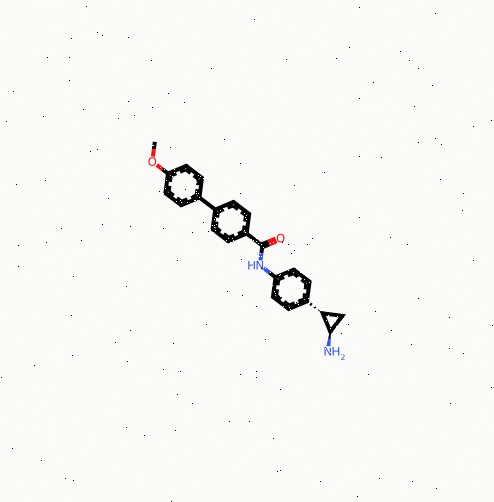 COc1ccc(-c2ccc(C(=O)Nc3ccc([C@@H]4C[C@H]4N)cc3)cc2)cc1